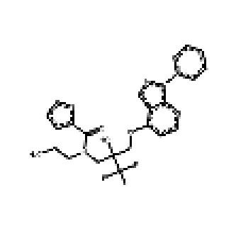 CCCN(CC(O)(CNc1cccc2c1cnn2-c1ccccc1)C(F)(F)F)C(=O)c1cccs1